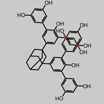 Oc1cc(O)cc(-c2cc(C34CC5CC(C3)CC(c3cc(-c6cc(O)cc(O)c6)c(O)c(-c6cc(O)cc(O)c6)c3)(C5)C4)cc(-c3cc(O)cc(O)c3)c2O)c1